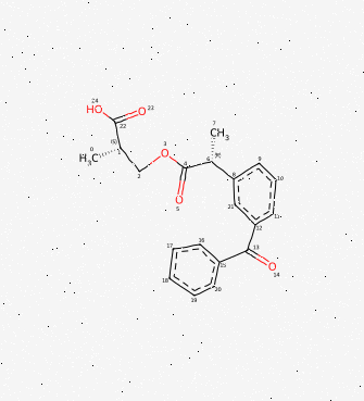 C[C@@H](COC(=O)[C@H](C)c1cccc(C(=O)c2ccccc2)c1)C(=O)O